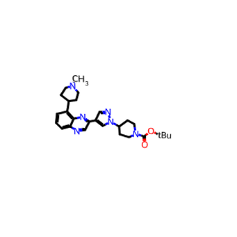 CN1CCC(c2cccc3ncc(-c4cnn(C5CCN(C(=O)OC(C)(C)C)CC5)c4)nc23)CC1